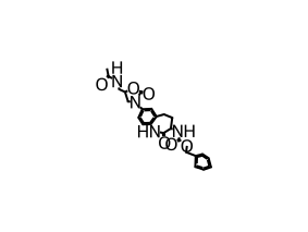 CC(=O)NCC1CN(c2ccc3c(c2)CCC(NC(=O)OCc2ccccc2)C(=O)N3)C(=O)O1